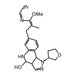 COC(/N=C\C(C)C)=C(\C)Cc1ccc2c(c1)NC(O)C1C=NN([C@H]3CCOC3)C21